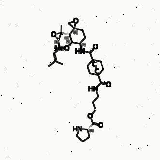 CO[C@H]1[C@H](C2(C)O[C@@H]2CC=C(C)C)[C@]2(CC[C@H]1NC(=O)C13CCC(C(=O)NCCCOC(=O)[C@@H]4CCCN4)(CC1)CC3)CO2